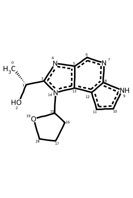 C[C@@H](O)c1nc2cnc3[nH]ccc3c2n1C1CCCO1